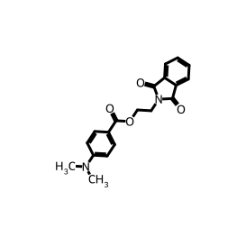 CN(C)c1ccc(C(=O)OCCN2C(=O)c3ccccc3C2=O)cc1